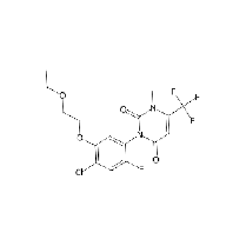 CCOCCOc1cc(-n2c(=O)cc(C(F)(F)F)n(C)c2=O)c(F)cc1Cl